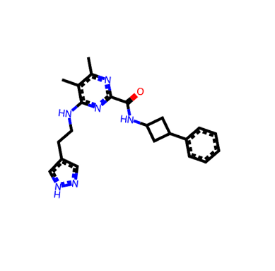 Cc1nc(C(=O)NC2CC(c3ccccc3)C2)nc(NCCc2cn[nH]c2)c1C